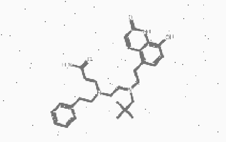 CC(C)(C)CN(CCc1ccc(O)c2[nH]c(=O)ccc12)CCN(CCC(N)=O)CCc1ccccc1